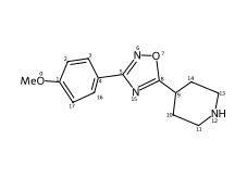 COc1ccc(-c2noc(C3CCNCC3)n2)cc1